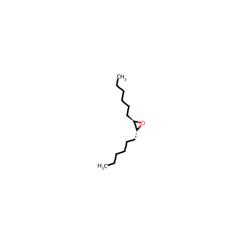 CCCCCC[C@H]1O[C@@H]1CCCCCC